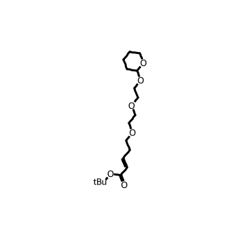 CC(C)(C)OC(=O)C=CCCOCCOCCOC1CCCCO1